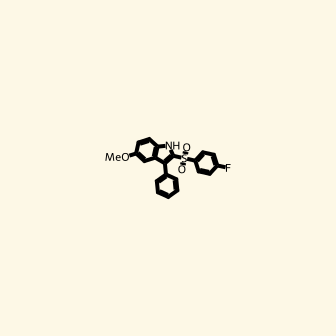 COc1ccc2[nH]c(S(=O)(=O)c3ccc(F)cc3)c(-c3ccccc3)c2c1